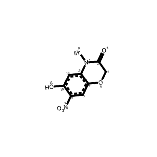 CC(C)N1C(=O)COc2cc([N+](=O)[O-])c(O)cc21